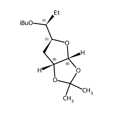 CC[C@H](OCC(C)C)[C@@H]1C[C@H]2OC(C)(C)O[C@H]2O1